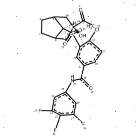 CC(=O)[C@]1(O)CC2CCC(C1)[C@H]2S(=O)(=O)c1cc(C(=O)Nc2cc(F)c(F)c(F)c2)ccc1Cl